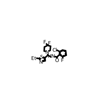 CCc1ncc(C(CNC(=O)c2c(F)cccc2Cl)N2CCC(F)(F)CC2)s1